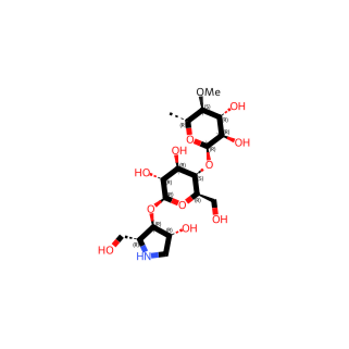 CO[C@H]1[C@H](O)[C@@H](O)[C@@H](O[C@H]2[C@H](O)[C@@H](O)[C@H](O[C@H]3[C@H](O)CN[C@@H]3CO)O[C@@H]2CO)O[C@@H]1C